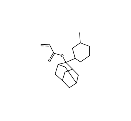 C=CC(=O)OC1(C2CCCC(C)C2)C2CC3CC(C2)CC1C3